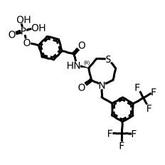 O=C(N[C@H]1CSCCN(Cc2cc(C(F)(F)F)cc(C(F)(F)F)c2)C1=O)c1ccc(OP(=O)(O)O)cc1